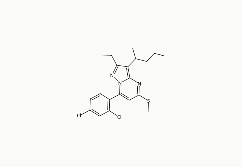 CCCC(C)c1c(CC)nn2c(-c3ccc(Cl)cc3Cl)cc(SC)nc12